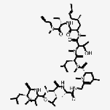 C=CCN(C)C(=O)[C@H](CC)NC(=O)C(C[C@H](C)C/C=C/C)N(C)C(=O)C(C(C)O)N(C)C(=C)[C@H](CC(C)C)N(C)C(=C)[C@@H]1CC(C)C=C(CNC(=O)[C@H](C)NC(=C)[C@H](CC(C)C)N(C)C(=O)C(NC(=C)[C@H](CC(C)C)N(C)C)C(C)C)N1C